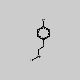 [CH2]CNCCc1ccc(Br)cc1